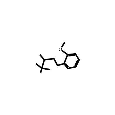 COc1ccccc1CCC(C)C(C)(C)C